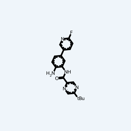 CC(C)(C)c1cnc(C(=O)Nc2cc(-c3ccc(F)nc3)ccc2N)cn1